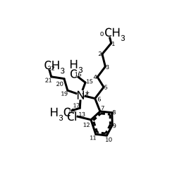 CCCCCCC(c1ccccc1Cl)[N+](CC)(CC)CCCC